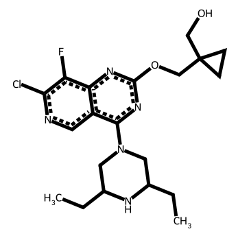 CCC1CN(c2nc(OCC3(CO)CC3)nc3c(F)c(Cl)ncc23)CC(CC)N1